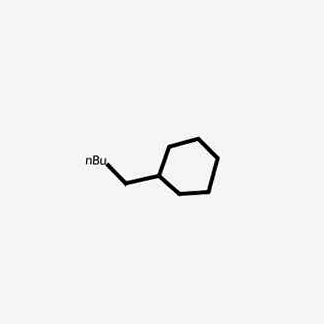 [CH2]CCC[CH]C1CCCCC1